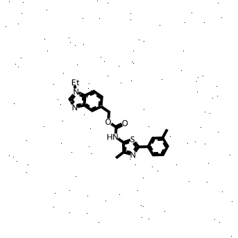 CCn1cnc2cc(COC(=O)Nc3sc(-c4cccc(C)c4)nc3C)ccc21